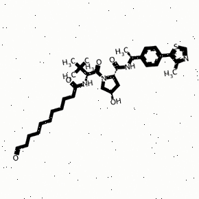 Cc1ncsc1-c1ccc([C@H](C)NC(=O)[C@@H]2C[C@@H](O)CN2C(=O)[C@@H](NC(=O)CCCCCCCCCC=O)C(C)(C)C)cc1